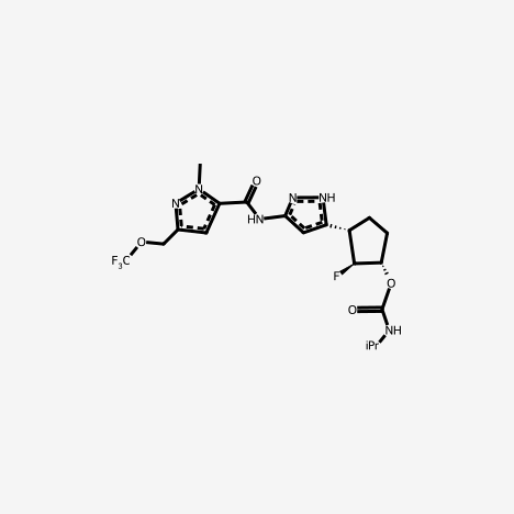 CC(C)NC(=O)O[C@H]1CC[C@@H](c2cc(NC(=O)c3cc(COC(F)(F)F)nn3C)n[nH]2)[C@@H]1F